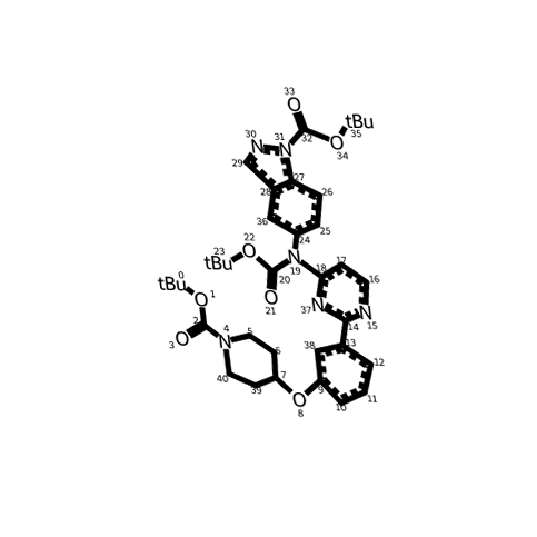 CC(C)(C)OC(=O)N1CCC(Oc2cccc(-c3nccc(N(C(=O)OC(C)(C)C)c4ccc5c(cnn5C(=O)OC(C)(C)C)c4)n3)c2)CC1